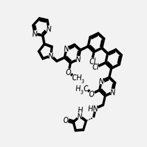 COc1nc(-c2cccc(-c3cccc(-c4cnc(CN5CCC(c6ncccn6)C5)c(OC)n4)c3Cl)c2Cl)cnc1CNC[C@@H]1CCC(=O)N1